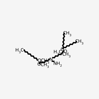 CCCCCCCCCCCOC(=O)C(C)(C)CCCCN(CCN)CCCCCCC(C)(C)C(=O)OC(CCCCCCCC)CCCCCCCC